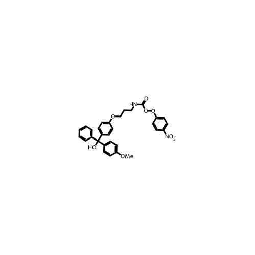 COc1ccc(C(O)(c2ccccc2)c2ccc(OCCCNC(=O)OOc3ccc([N+](=O)[O-])cc3)cc2)cc1